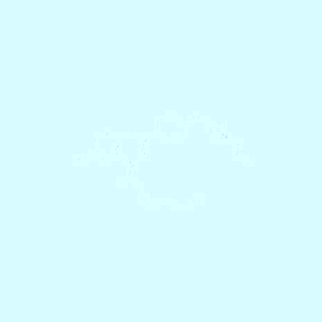 C#CCC/C=C\CC(=C)Sc1cc(O)ccc1CC(=O)[C@H]1C=CC(OC2CN(CCC)C2)=CC1